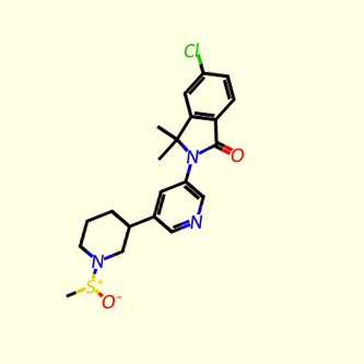 C[S+]([O-])N1CCCC(c2cncc(N3C(=O)c4ccc(Cl)cc4C3(C)C)c2)C1